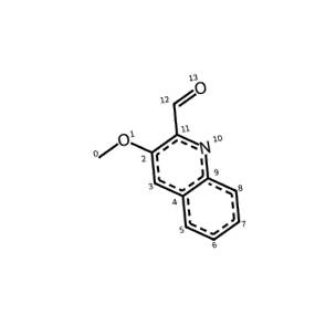 COc1cc2ccccc2nc1C=O